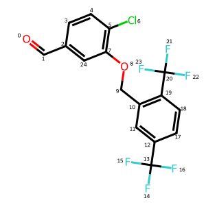 O=Cc1ccc(Cl)c(OCc2cc(C(F)(F)F)ccc2C(F)(F)F)c1